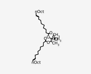 CCCCCCCCC=CCCCCCCCC(=O)OC(C)C(OC(=O)CCCCCCCC=CCCCCCCCC)N(C)C.Cl